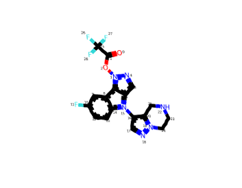 O=C(On1ncc2c1c1cc(F)ccc1n2-c1cnn2c1CNCC2)C(F)(F)F